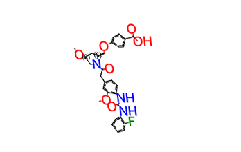 COc1cc(CC(=O)N2C[C@H](OC)C[C@H]2COc2ccc(C(=O)O)cc2)ccc1NC(=O)Nc1ccccc1F